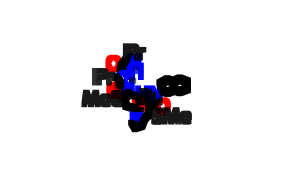 CCC(C)C(C(CC(=O)N1CCCC1C(CC(=O)Nc1ccc2ccccc2c1)SC)OC)N(C)C(=O)C(NC(=O)C(C(C)C)N(C)C)C(C)C